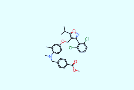 COC(=O)c1ccc(CN(C)c2ccc(OCc3c(-c4c(Cl)cccc4Cl)noc3C(C)C)cc2C)cc1